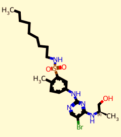 CCCCCCCCCNS(=O)(=O)c1cc(Nc2ncc(Br)c(N[C@H](C)CO)n2)ccc1C